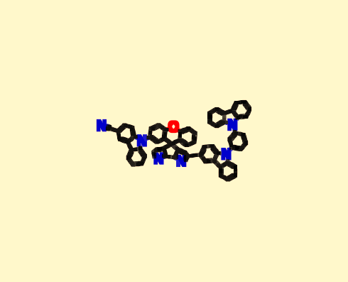 N#Cc1ccc2c(c1)c1ccccc1n2-c1ccc2c(c1)C1(c3ccccc3O2)c2cccnc2-c2ncc(-c3ccc4c(c3)c3ccccc3n4-c3cccc(-n4c5ccccc5c5ccccc54)c3)cc21